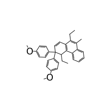 CCc1c2c(c3ccccc3c1C)C(CC)C(c1ccc(OC)cc1)(c1ccc(OC)cc1)C=C2